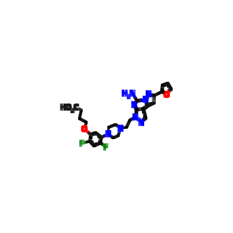 Nc1nc2c(cnn2CCN2CCN(c3cc(OCCCC(=O)O)c(F)cc3F)CC2)c2cc(-c3ccco3)nn12